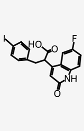 O=C(O)C(Cc1ccc(I)cc1)c1cc(=O)[nH]c2ccc(F)cc12